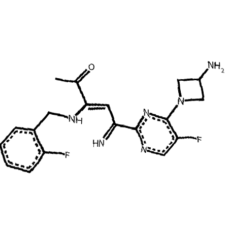 CC(=O)/C(=C/C(=N)c1ncc(F)c(N2CC(N)C2)n1)NCc1ccccc1F